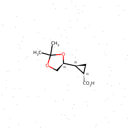 CC1(C)OC[C@H]([C@H]2C[C@@H]2C(=O)O)O1